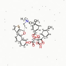 CN(C)CC[C@H](Oc1cccc2ccccc12)c1cccs1.Cc1ccc(C(=O)O[C@](C(=O)O)(C(=O)c2ccc(C)cc2)[C@@H](O)C(=O)O)cc1